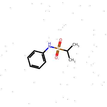 CC(C)S(=O)(=O)Nc1cc[c]cc1